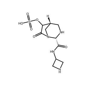 O=C(NC1CNC1)[C@H]1NC[C@@H]2CN1C(=O)C2OS(=O)(=O)O